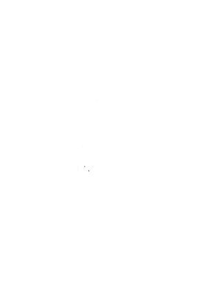 Cc1ccc(-c2ccc(SCc3ccccc3)c(=O)[nH]2)cc1C